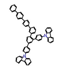 c1ccc(-c2ccc(-c3ccc(-c4cccc(-c5ccc(-c6ccc(-n7c8ccccc8c8ccccc87)cc6)cc5-c5ccc(-n6c7ccccc7c7ccccc76)cc5)c4)cc3)cc2)cc1